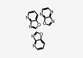 [c]1ccc2ocnc2n1.[c]1cnc2ncoc2n1.[c]1nc2ncccc2o1